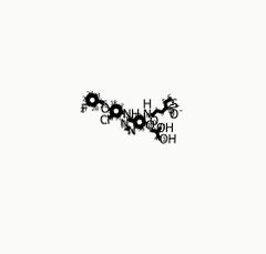 O=C(CCC1CCS[S+]1[O-])Nc1cc2c(Nc3ccc(OCc4cccc(F)c4)c(Cl)c3)ncnc2cc1OCC(O)CO